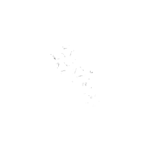 COc1cc(OCc2ccccc2-c2ccccc2C#N)cc(OC)c1CNCCN1CCCC1